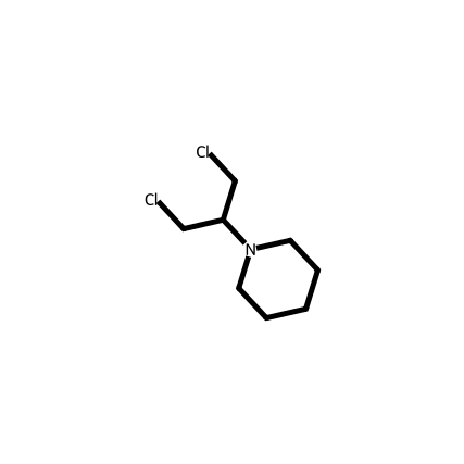 ClCC(CCl)N1CCCCC1